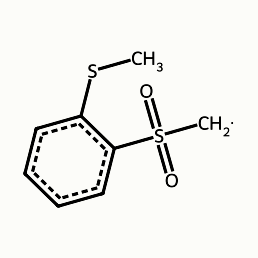 [CH2]S(=O)(=O)c1ccccc1SC